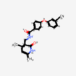 Cc1cc(C)c(CNC(=O)c2ccc(Oc3cccc(C#N)c3)cc2)c(=O)[nH]1